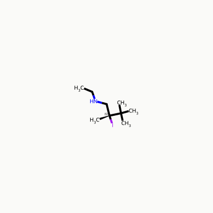 CCNC[C@@](C)(I)C(C)(C)C